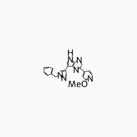 COc1cc(-c2cnc3[nH]cc(-c4cnn(Cc5ccccc5)c4)c3n2)ccn1